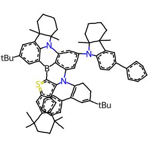 CC(C)(C)C1=CC(c2ccccc2)=C(N2c3cc(N4c5ccc(-c6ccccc6)cc5C5(C)CCCCC45C)cc4c3B(c3cc(C(C)(C)C)cc5c3N4C3(C)CCCCC53C)c3sc4cc5c(cc4c32)C(C)(C)CCC5(C)C)CC1